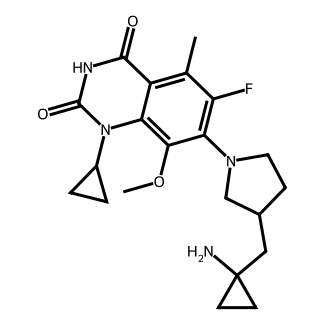 COc1c(N2CCC(CC3(N)CC3)C2)c(F)c(C)c2c(=O)[nH]c(=O)n(C3CC3)c12